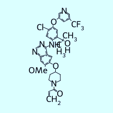 C=CC(=O)N1CCC(Oc2cc3c(Nc4cc(Cl)c(Oc5cncc(C(F)(F)F)c5)cc4C(C)(C)O)ncnc3cc2OC)CC1